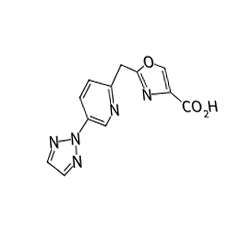 O=C(O)c1coc(Cc2ccc(-n3nccn3)cn2)n1